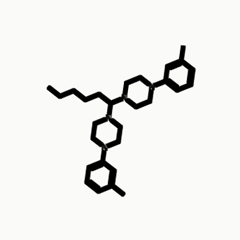 CCCCCC(N1CCN(c2cccc(C)c2)CC1)N1CCN(c2cccc(C)c2)CC1